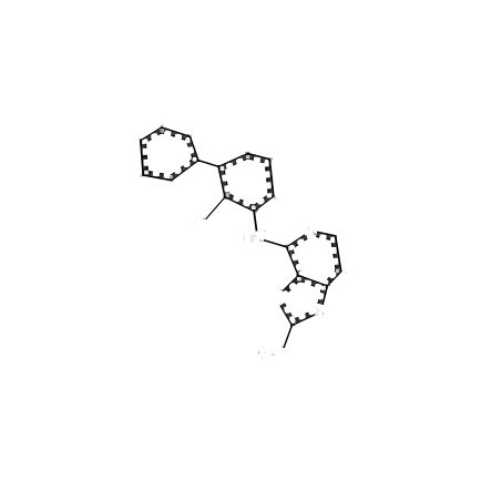 CSc1nc2ccnc(Nc3cccc(-c4ccccc4)c3Cl)c2o1